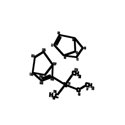 C1=CC2CCC1C2.CO[Si](C)(C)C1=CC2CCC1C2